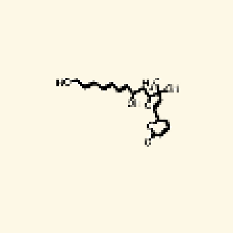 CC(O)(C=CC1CC=CC(=O)O1)C(O)CC(O)C=CC=CC=CCO